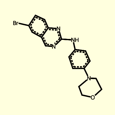 Brc1ccc2nc(Nc3ccc(N4CCOCC4)cc3)ncc2c1